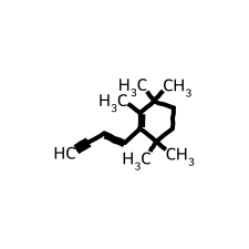 C#CC=CC1=C(C)C(C)(C)CCC1(C)C